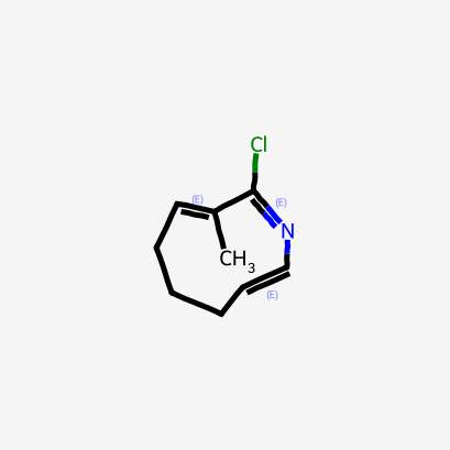 CC1=C\CCC/C=C/N=C\1Cl